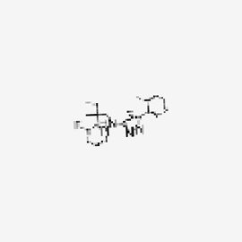 Cc1ccccc1-c1nnc(NCC2(c3ncccc3F)CCC2)s1